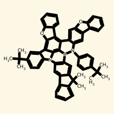 CC(C)(C)c1ccc(N2B3c4cc5c(cc4-n4c6ccc(C(C)(C)C)cc6c6c7oc8ccccc8c7c(c3c64)-c3cc4oc6ccccc6c4cc32)-c2ccccc2C5(C)C)cc1